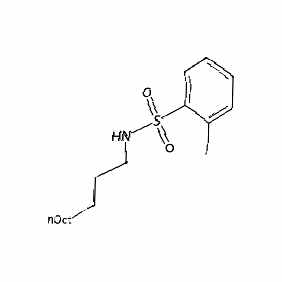 CCCCCCCCCCCNS(=O)(=O)c1ccccc1C